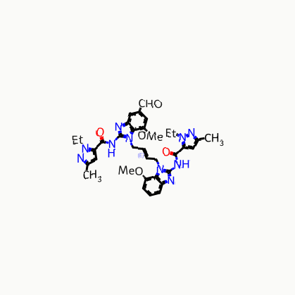 CCn1nc(C)cc1C(=O)Nc1nc2cccc(OC)c2n1C/C=C/Cn1c(NC(=O)c2cc(C)nn2CC)nc2cc(C=O)cc(OC)c21